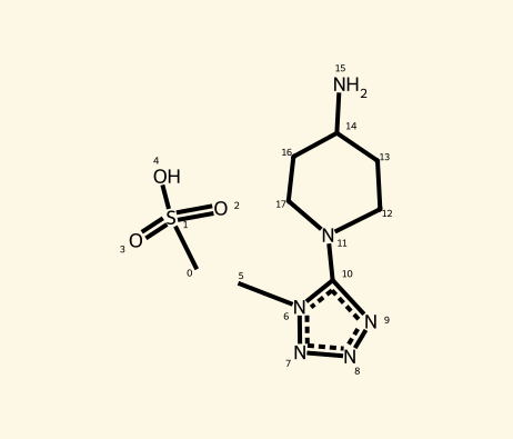 CS(=O)(=O)O.Cn1nnnc1N1CCC(N)CC1